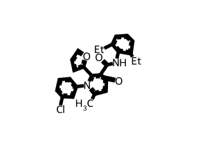 CCc1cccc(CC)c1NC(=O)c1c(-c2ccco2)n(-c2cccc(Cl)c2)c(C)cc1=O